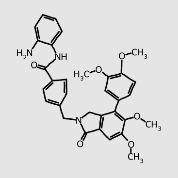 COc1ccc(-c2c3c(cc(OC)c2OC)C(=O)N(Cc2ccc(C(=O)Nc4ccccc4N)cc2)C3)cc1OC